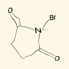 O=C1CCC(=O)[N+]1Br